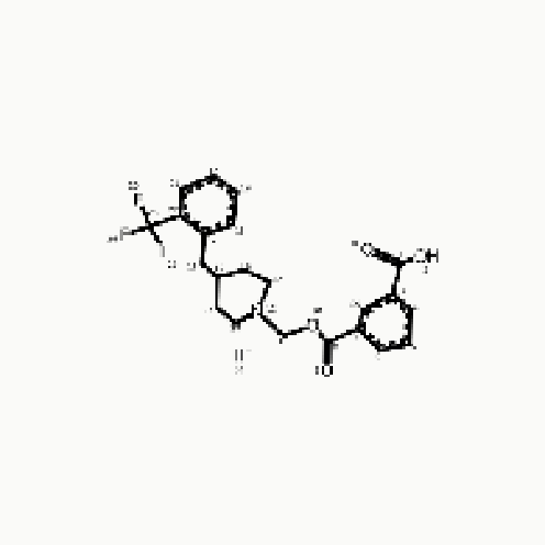 O=C(O)c1cccc(C(=O)OCN2CCC(Cc3ccccc3C(F)(F)F)CC2)c1.[H+]